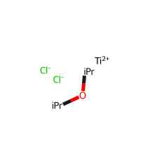 CC(C)OC(C)C.[Cl-].[Cl-].[Ti+2]